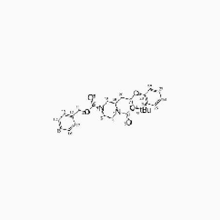 CC(C)(C)OC(=O)N1CCN(C(=O)OCc2ccccc2)CC1CCOc1ccccc1